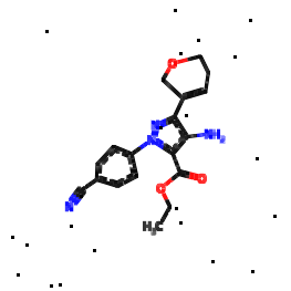 CCOC(=O)c1c(N)c(C2=CCCOC2)nn1-c1ccc(C#N)cc1